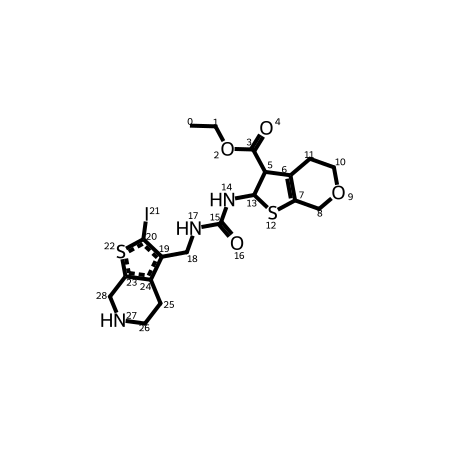 CCOC(=O)C1C2=C(COCC2)SC1NC(=O)NCc1c(I)sc2c1CCNC2